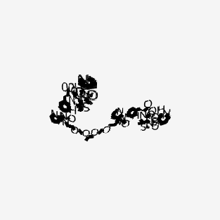 CC(COCCOCCn1c(=O)n(-c2ccc(C[C@H](NC(=O)[C@H]3N(S(=O)(=O)c4cccnc4)CSC3(C)C)C(=O)O)cc2)c2ncccc21)OCCOCCn1c(=O)n(-c2ccc(C[C@H](NC(=O)[C@H]3N(S(=O)(=O)c4cccnc4)CSC3(C)C)C(=O)O)cc2)c2ncccc21